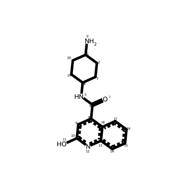 NC1CCC(NC(=O)c2cc(O)nc3ccccc23)CC1